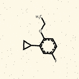 CCOc1ccc(F)cc1C1CC1